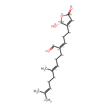 CC(C)=CCC/C(C)=C/CC/C(C=O)=C/CCC1=CC(=O)O[C@H]1O